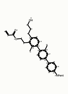 C=CC(=O)OCCc1c(CCCO)ccc(-c2ccc(-c3ccc(CCCCC)cc3)cc2C)c1C